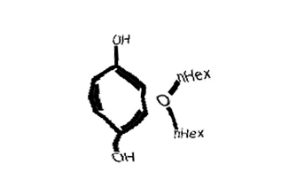 CCCCCCOCCCCCC.Oc1ccc(O)cc1